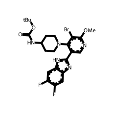 COc1ncc(-c2nc3cc(F)c(F)cc3[nH]2)c(N2CCC(NC(=O)OC(C)(C)C)CC2)c1Br